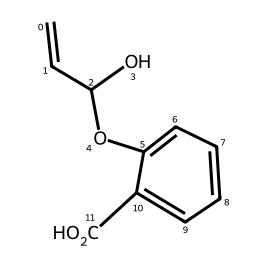 C=CC(O)Oc1ccccc1C(=O)O